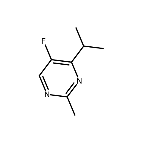 Cc1ncc(F)c(C(C)C)n1